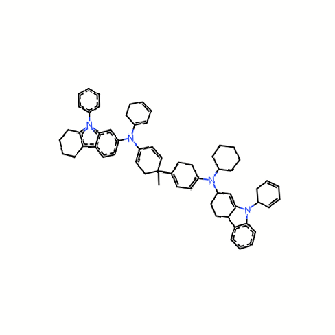 CC1(C2=CC=C(N(C3C=C4C(CC3)c3ccccc3N4C3C=CC=CC3)C3CCCCC3)CC2)C=CC(N(C2=CC=CCC2)c2ccc3c4c(n(-c5ccccc5)c3c2)CCCC4)=CC1